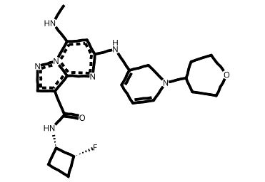 CNc1cc(NC2=CC=CN(C3CCOCC3)C2)nc2c(C(=O)N[C@H]3CC[C@H]3F)cnn12